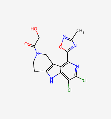 Cc1noc(-c2nc(Cl)c(Cl)c3[nH]c4c(c23)CN(C(=O)CO)CC4)n1